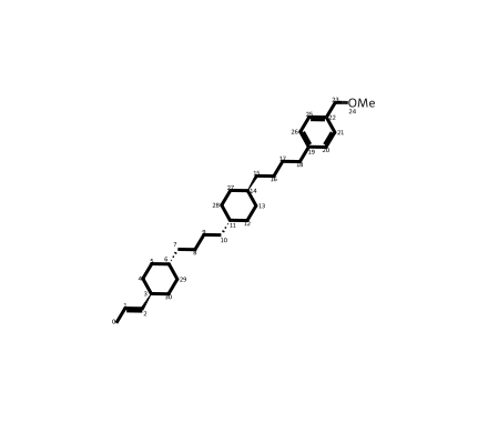 CC=C[C@H]1CC[C@H](CCCC[C@H]2CC[C@H](CCCCc3ccc(COC)cc3)CC2)CC1